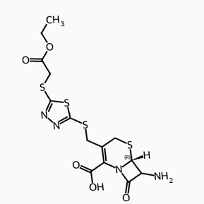 CCOC(=O)CSc1nnc(SCC2=C(C(=O)O)N3C(=O)C(N)[C@H]3SC2)s1